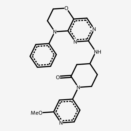 COc1cc(N2CCC(Nc3ncc4c(n3)N(c3ccccc3)CCO4)CC2=O)ccn1